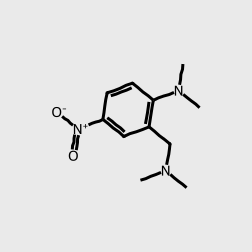 CN(C)Cc1cc([N+](=O)[O-])ccc1N(C)C